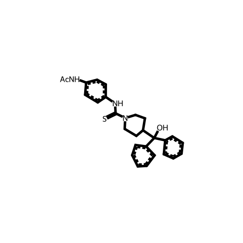 CC(=O)Nc1ccc(NC(=S)N2CCC(C(O)(c3ccccc3)c3ccccc3)CC2)cc1